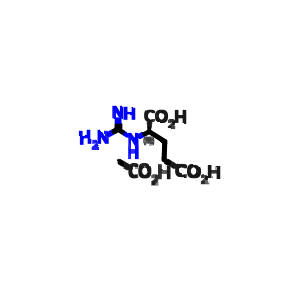 CC(=O)O.N=C(N)N[C@H](CCC(=O)O)C(=O)O